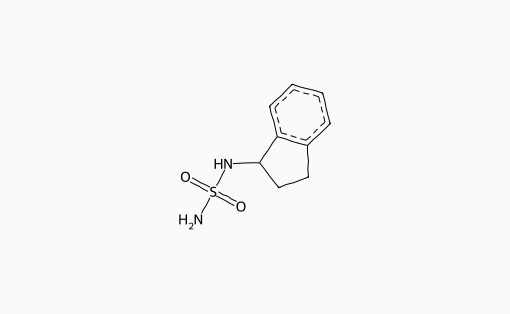 NS(=O)(=O)NC1CCc2ccccc21